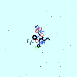 C=C(/C(Cl)=C\C=C/C)[C@@H](C(=O)NC1CC(F)(F)C1)N(C(=O)CNS(=O)(=O)N1CC1)c1cccc(C(F)(F)F)c1